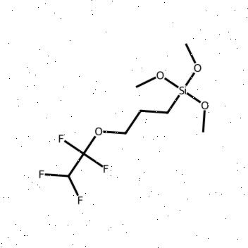 CO[Si](CCCOC(F)(F)C(F)F)(OC)OC